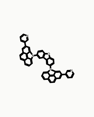 c1cncc(-c2cc3ccc4cccc5c4c3c(c2)n5-c2ccc3oc4ccc(-n5c6cccc7ccc8cc(-c9cccnc9)cc5c8c76)cc4c3c2)c1